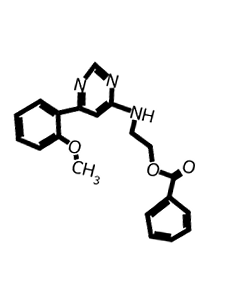 COc1ccccc1-c1cc(NCCOC(=O)c2ccccc2)ncn1